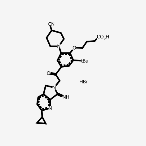 Br.CC(C)(C)c1cc(C(=O)CN2Cc3ccc(C4CC4)nc3C2=N)cc(N2CCC(C#N)CC2)c1OCCCC(=O)O